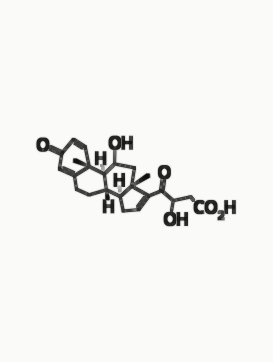 C[C@]12C=CC(=O)C=C1CC[C@@H]1[C@@H]2C(O)C[C@]2(C)C(C(=O)C(O)CC(=O)O)=CC[C@@H]12